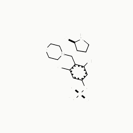 O=C1NCCC1[C@H](c1c(Cl)cc(OS(=O)(=O)C(F)(F)F)cc1Cl)N1CCOCC1